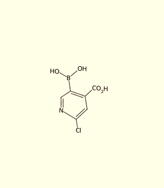 O=C(O)c1cc(Cl)ncc1B(O)O